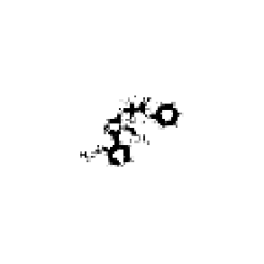 CCn1c(SC(C)(C)C(=O)Nc2ccccc2)nnc1-c1ccncc1OC